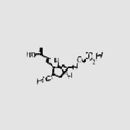 CC(O)C=CC1C(O)C[C@@H]2C(=NOCC(=O)O)C[C@@H]12